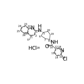 Cc1cc(N[C@H]2CC[C@@H](NC(=O)c3ccc(Cl)nc3)CC2)nc2ccccc12.Cl